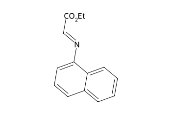 CCOC(=O)C=Nc1cccc2ccccc12